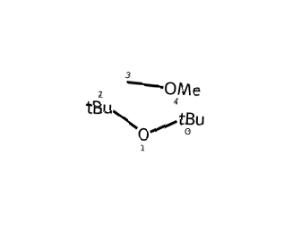 CC(C)(C)OC(C)(C)C.COC